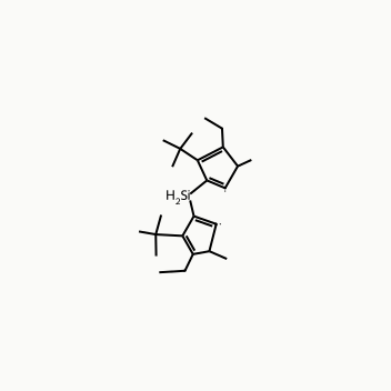 CCC1=C(C(C)(C)C)C([SiH2]C2=[C]C(C)C(CC)=C2C(C)(C)C)=[C]C1C